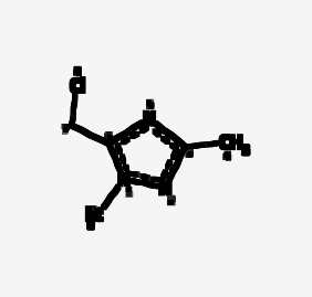 CCn1nc(C)nc1CCl